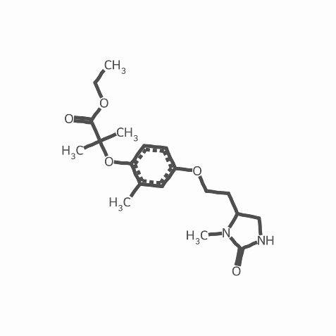 CCOC(=O)C(C)(C)Oc1ccc(OCCC2CNC(=O)N2C)cc1C